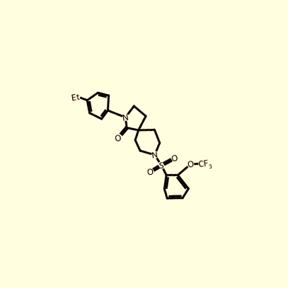 CCc1ccc(N2CCC3(CCN(S(=O)(=O)c4ccccc4OC(F)(F)F)CC3)C2=O)cc1